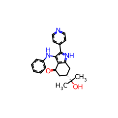 CC(C)(O)[C@@H]1CC(=O)c2c([nH]c(-c3ccncc3)c2Nc2ccccc2)C1